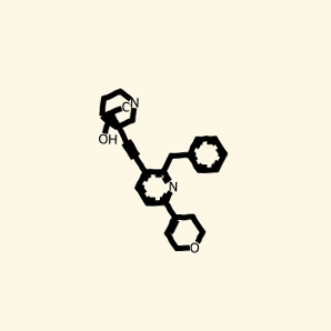 OC1(C#Cc2ccc(C3=CCOCC3)nc2Cc2ccccc2)CN2CCC1CC2